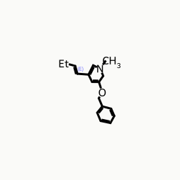 CC/C=C/C1=CN(C)CC(OCc2ccccc2)=C1